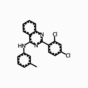 Cc1cccc(Nc2nc(-c3ccc(Cl)cc3Cl)nc3ccccc23)c1